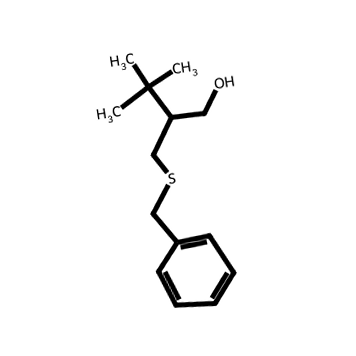 CC(C)(C)C(CO)CSCc1ccccc1